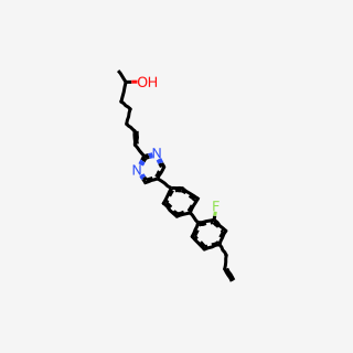 C=CCc1ccc(-c2ccc(-c3cnc(C=CCCCC(C)O)nc3)cc2)c(F)c1